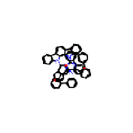 c1ccc(-c2nc(-c3ccccc3-c3ccccc3)nc(-n3c4ccccc4c4ccc5c6ccccc6n(-c6cc(-c7ccccc7-c7ccccc7)cc(-c7ccccc7-c7ccccc7)c6)c5c43)n2)cc1